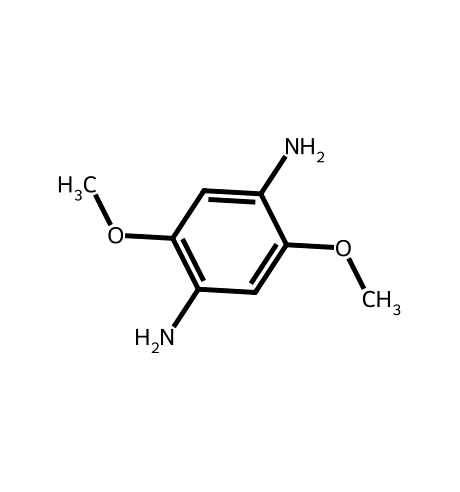 COc1cc(N)c(OC)cc1N